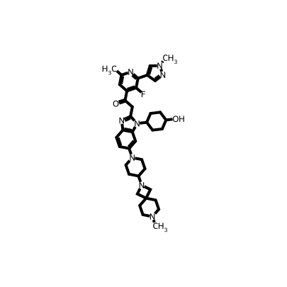 Cc1cc(C(=O)Cc2nc3ccc(N4CCC(N5CC6(CCN(C)CC6)C5)CC4)cc3n2C2CCC(O)CC2)c(F)c(-c2cnn(C)c2)n1